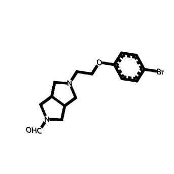 O=CN1CC2CN(CCOc3ccc(Br)cc3)CC2C1